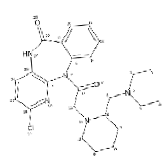 CCN(CC)CC1CCCCN1CC(=O)N1c2ccccc2C(=O)Nc2ccc(Cl)nc21